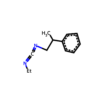 CCN=C=NCC(C)c1ccccc1